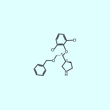 Clc1cccc(Cl)c1O[C@@H](COCc1ccccc1)[C@H]1CCNC1